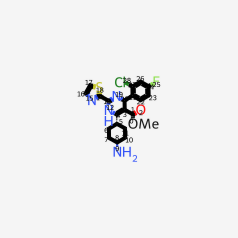 COC(=O)C1=C([C@H]2CC[C@H](N)CC2)NC(c2nccs2)=NC1c1ccc(F)cc1Cl